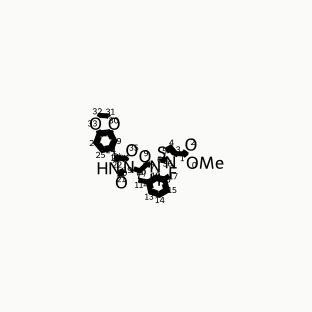 COC(=O)c1csc(NC(=O)[C@H](Cc2cccc(F)c2)N2C(=O)N[C@H](c3ccc4c(c3)OCCO4)C2=O)n1